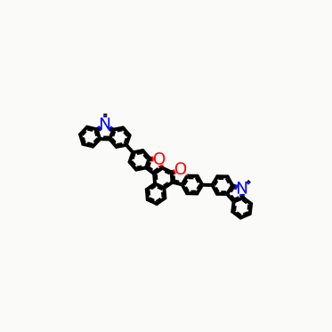 Cn1c2ccccc2c2cc(-c3ccc4c(c3)oc3c5oc6cc(-c7ccc8c(c7)c7ccccc7n8C)ccc6c5c5ccccc5c43)ccc21